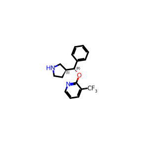 FC(F)(F)c1cccnc1O[C@@H](c1ccccc1)[C@H]1CCNC1